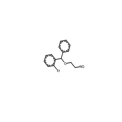 CCc1ccccc1C(OCCN=O)c1ccccc1